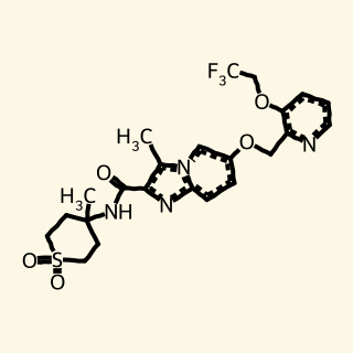 Cc1c(C(=O)NC2(C)CCS(=O)(=O)CC2)nc2ccc(OCc3ncccc3OCC(F)(F)F)cn12